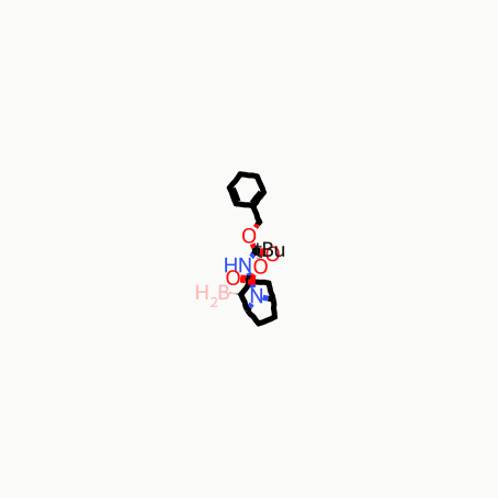 B[C@@H]1C(NC(=O)OCC2=CCCC=C2)CC2CCC1N2C(=O)OC(C)(C)C